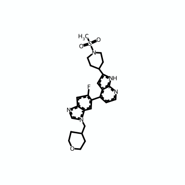 CS(=O)(=O)N1CCC(c2cc3c(-c4cc5c(cc4F)ncn5CC4CCOCC4)ccnc3[nH]2)CC1